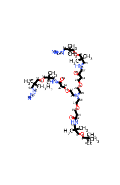 CCC(C)(C)COCC(C)(C)CNC(=O)CCOCCN(CCOCCC(=O)CNCC(C)(C)COCC(C)(C)CN=[N+]=[N-])CCOCCC(=O)NCC(C)(C)COCC(C)(C)CN=[N+]=[N-]